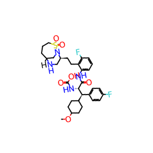 COC1CCC([C@H](c2ccc(F)cc2)[C@H](NC(=O)O)C(=O)Nc2cccc(F)c2CC[C@H]2CN[C@@H]3CCCS(=O)(=O)N2C3)CC1